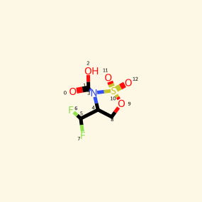 O=C(O)N1C(C(F)F)COS1(=O)=O